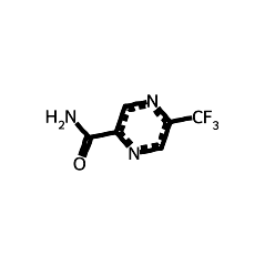 NC(=O)c1cnc(C(F)(F)F)cn1